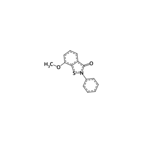 COc1cccc2c(=O)n(-c3ccccc3)sc12